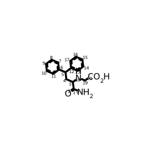 NC(=O)C(CC(c1ccccc1)c1ccccc1)NCC(=O)O